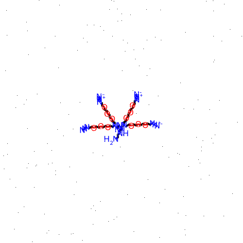 [N-]=[N+]=NCCOCCOCCOCCN(CCOCCOCCOCCN=[N+]=[N-])c1nc(NCCN)nc(N(CCOCCOCCOCCN=[N+]=[N-])CCOCCOCCOCCN=[N+]=[N-])n1